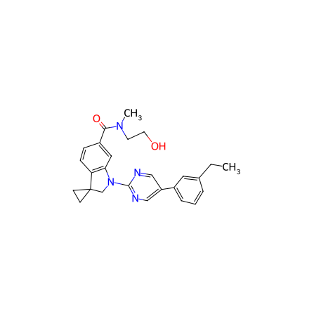 CCc1cccc(-c2cnc(N3CC4(CC4)c4ccc(C(=O)N(C)CCO)cc43)nc2)c1